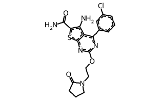 NC(=O)c1sc2nc(OCCN3CCCC3=O)nc(-c3cccc(Cl)c3)c2c1N